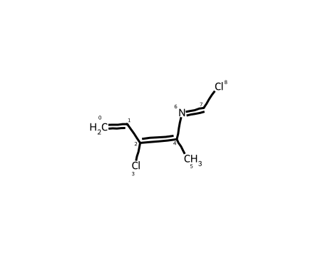 C=C/C(Cl)=C(C)\N=C\Cl